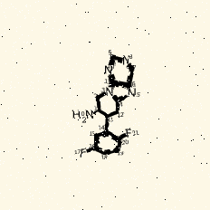 N[C@H]1Cn2c(nc3cncnc32)CC1c1cc(F)ccc1F